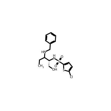 CCC(NCc1ccccc1)[C@@H](CO)NS(=O)(=O)c1ccc(Cl)s1